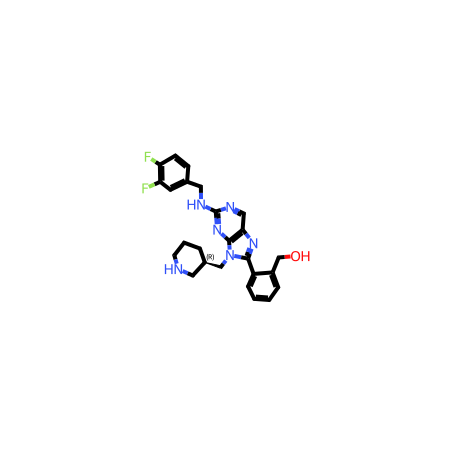 OCc1ccccc1-c1nc2cnc(NCc3ccc(F)c(F)c3)nc2n1C[C@@H]1CCCNC1